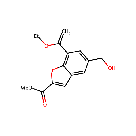 C=C(OCC)c1cc(CO)cc2cc(C(=O)OC)oc12